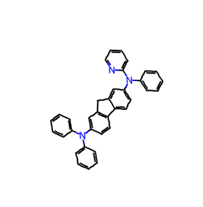 c1ccc(N(c2ccccc2)c2ccc3c(c2)Cc2cc(N(c4ccccc4)c4ccccn4)ccc2-3)cc1